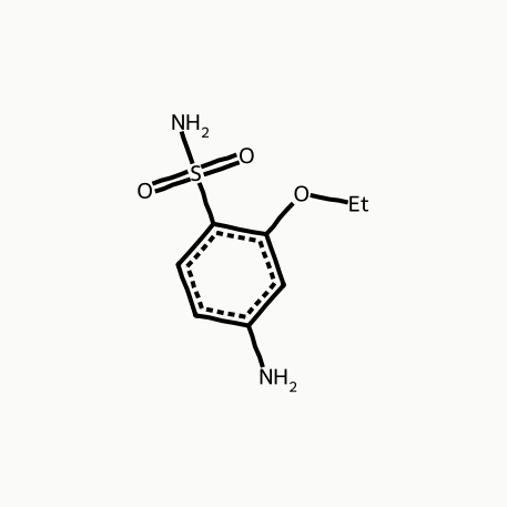 CCOc1cc(N)ccc1S(N)(=O)=O